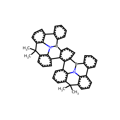 CC1(C)c2cccc3c2N2B(c4ccccc4-3)c3ccc4c(c3-c3cccc1c32)-c1cccc2c1N1B4c3ccccc3-c3cccc(c31)C2(C)C